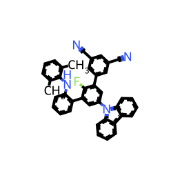 Cc1cccc(C)c1Nc1ccccc1-c1cc(-n2c3ccccc3c3ccccc32)cc(-c2cc(C#N)cc(C#N)c2)c1F